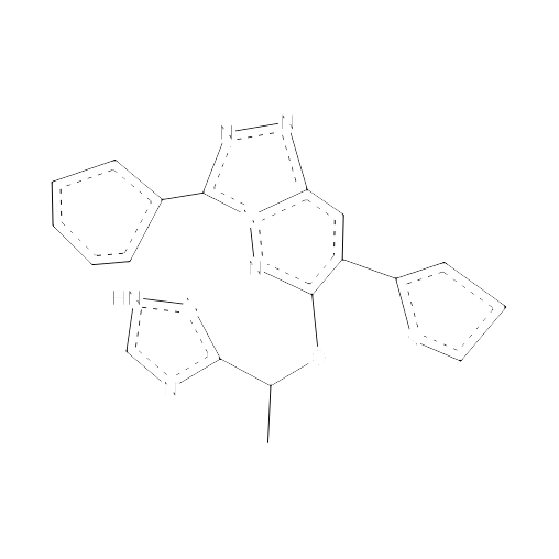 CC(Oc1nn2c(-c3ccccc3)nnc2cc1-c1cccs1)c1nc[nH]n1